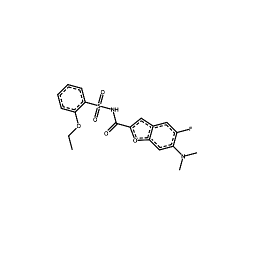 CCOc1ccccc1S(=O)(=O)NC(=O)c1cc2cc(F)c(N(C)C)cc2o1